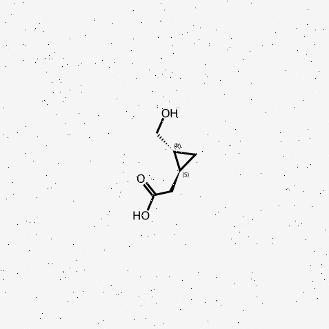 O=C(O)C[C@@H]1C[C@H]1CO